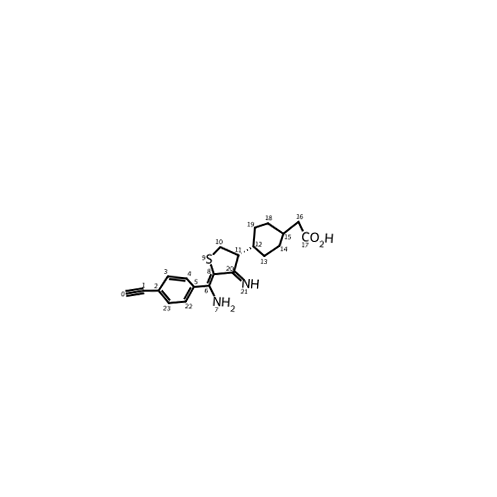 C#Cc1ccc(/C(N)=C2\SC[C@H](C3CCC(CC(=O)O)CC3)C2=N)cc1